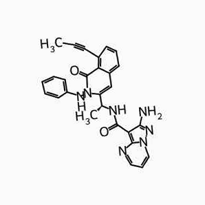 CC#Cc1cccc2cc([C@H](C)NC(=O)c3c(N)nn4cccnc34)n(Nc3ccccc3)c(=O)c12